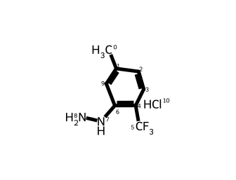 Cc1ccc(C(F)(F)F)c(NN)c1.Cl